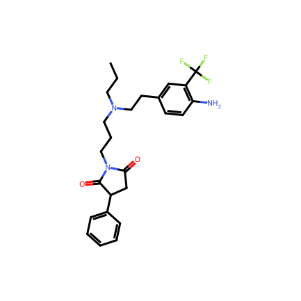 CCCN(CCCN1C(=O)CC(c2ccccc2)C1=O)CCc1ccc(N)c(C(F)(F)F)c1